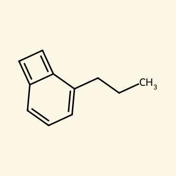 CCCc1cccc2c1=CC=2